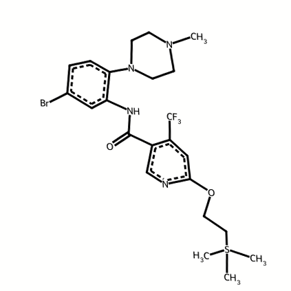 CN1CCN(c2ccc(Br)cc2NC(=O)c2cnc(OCCS(C)(C)C)cc2C(F)(F)F)CC1